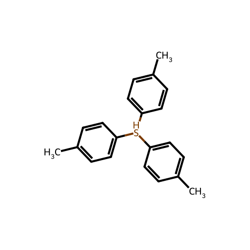 Cc1ccc([SH](c2ccc(C)cc2)c2ccc(C)cc2)cc1